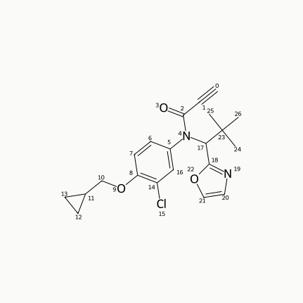 C#CC(=O)N(c1ccc(OCC2CC2)c(Cl)c1)C(c1ncco1)C(C)(C)C